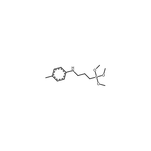 CO[Si](CCCNc1ccc(C)cc1)(OC)OC